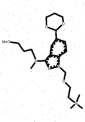 COCCCN(C)c1nn(COCC[Si](C)(C)C)c2ccc(C3OCCCO3)cc12